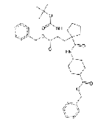 CC(C)(C)OC(=O)NC(CC1(C(=O)NC2CCC(C(=O)OCc3ccccc3)CC2)CCCC1)C(=O)OCc1ccccc1